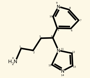 NCCCC(c1cccnc1)n1ccnc1